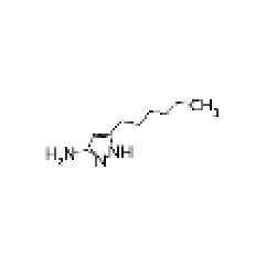 CCCCCCc1cc(N)n[nH]1